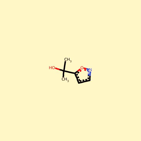 CC(C)(O)c1ccno1